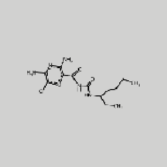 CCCCC(CC)NC(=O)NC(=O)c1nc(Cl)c(N)nc1N